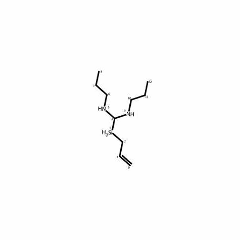 C=CC[SiH2]C(NCCC)NCCC